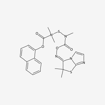 CN(S[N+](C)(C)C(=O)Oc1cccc2ccccc12)C(=O)ON=C1n2ccnc2SC1(C)C